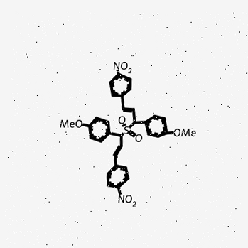 COc1ccc(C(C=Cc2ccc([N+](=O)[O-])cc2)S(=O)(=O)C(C=Cc2ccc([N+](=O)[O-])cc2)c2ccc(OC)cc2)cc1